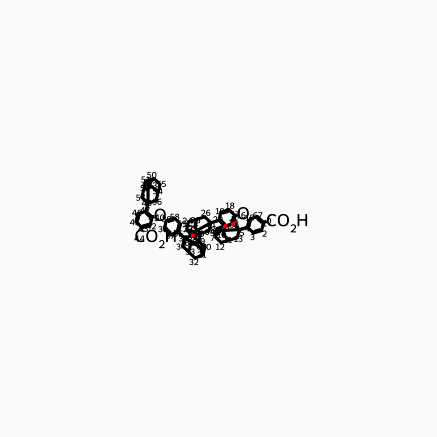 O=C(O)c1ccc(C23CC4CC(CC(C4)C2)C3)c(Oc2ccc(C34CC5CC(C3)CC(C36CC7CC(CC(c8ccc(Oc9cc(C(=O)O)ccc9C9%10CC%11CC(CC(C%11)C9)C%10)cc8)(C7)C3)C6)(C5)C4)cc2)c1